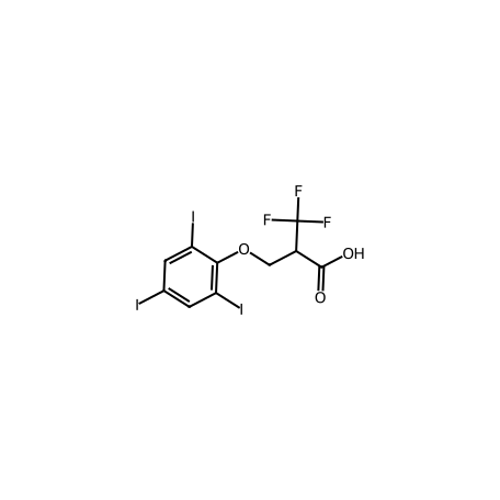 O=C(O)C(COc1c(I)cc(I)cc1I)C(F)(F)F